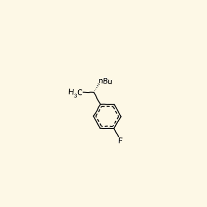 CCCC[C@@H](C)c1ccc(F)cc1